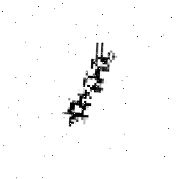 O=c1[nH]nc(-c2cnc(NCc3ccc(F)c(F)c3)nc2)o1